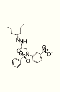 CCCC(CCC)=NNC(=O)CN(c1cccc([N+](=O)[O-])c1)S(=O)(=O)c1ccccc1